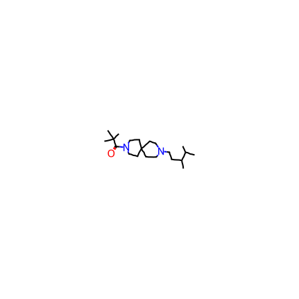 CC(C)C(C)CCN1CCC2(CC1)CCN(C(=O)C(C)(C)C)CC2